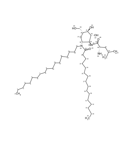 CCCCCCCCCCCCCCCCCCN(C(=O)CCCCCCCCCCCCCCC)[C@@H]1O[C@H](CO)[C@@H](O)[C@H](O)[C@H]1NC(=O)[C@@H](N)CC(C)C